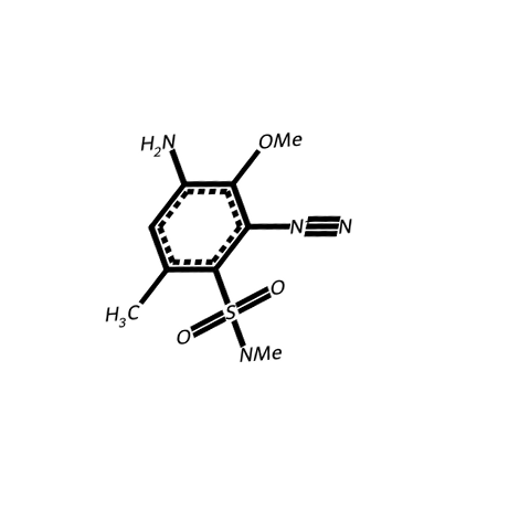 CNS(=O)(=O)c1c(C)cc(N)c(OC)c1[N+]#N